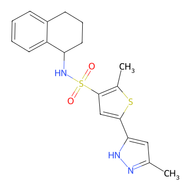 Cc1cc(-c2cc(S(=O)(=O)NC3CCCc4ccccc43)c(C)s2)[nH]n1